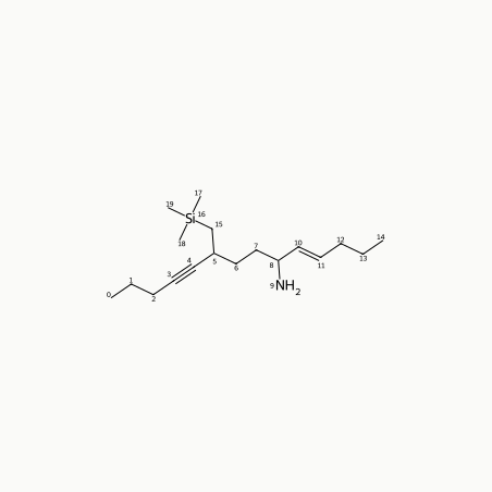 CCCC#CC(CCC(N)/C=C/CCC)C[Si](C)(C)C